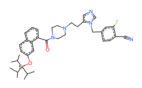 CC(C)[Si](Oc1ccc2cccc(C(=O)N3CCN(CCc4cncn4Cc4ccc(C#N)c(F)c4)CC3)c2c1)(C(C)C)C(C)C